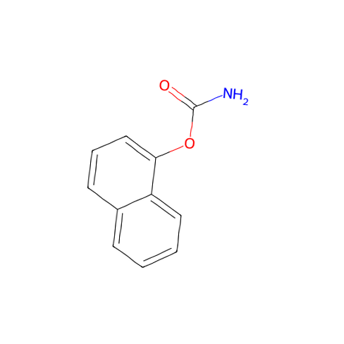 NC(=O)Oc1cccc2ccccc12